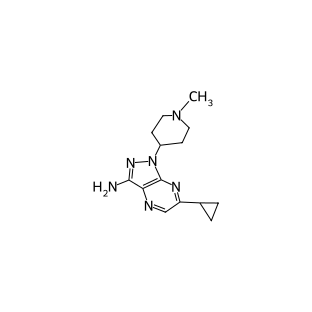 CN1CCC(n2nc(N)c3ncc(C4CC4)nc32)CC1